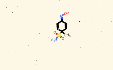 CC1(S(N)(=O)=O)C=CC(=NO)C=C1